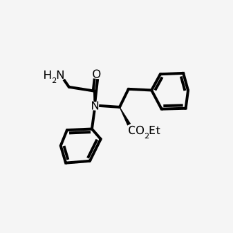 CCOC(=O)[C@H](Cc1ccccc1)N(C(=O)CN)c1ccccc1